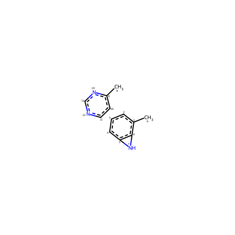 Cc1cccc2c1N2.Cc1ccncn1